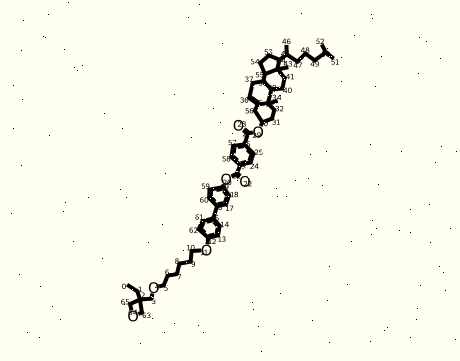 CCC1(COCCCCCCOc2ccc(-c3ccc(OC(=O)c4ccc(C(=O)OC5CCC6(C)C(=CCC7C6CCC6(C)C(C(C)CCCC(C)C)CCC76)C5)cc4)cc3)cc2)COC1